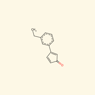 CCc1cccc(C2=CC(=O)C=C2)c1